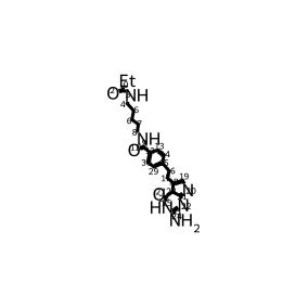 CCC(=O)NCCCCCNC(=O)c1ccc(CCC2=CN=C3N=C(N)NC(=O)C23)cc1